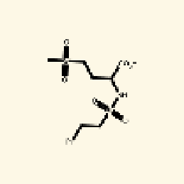 CC(C)CCS(=O)(=O)NC(CCS(C)(=O)=O)C(=O)O